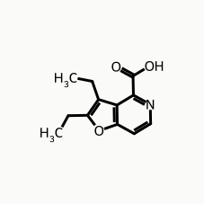 CCc1oc2ccnc(C(=O)O)c2c1CC